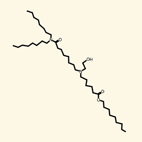 CCCCCCCCCOC(=O)CCCCCN(CCO)CCCCCCCC(=O)N(CCCCCCCC)CCCCCCCC